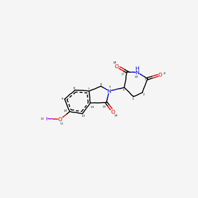 O=C1CCC(N2Cc3ccc(OI)cc3C2=O)C(=O)N1